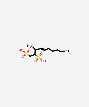 CCCCCC=CC(C)C(CS(=O)(=O)O)S(=O)(=O)O